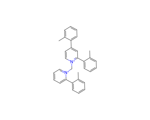 Cc1ccccc1-c1cc[n+](C[n+]2ccccc2-c2ccccc2C)c(-c2ccccc2C)c1